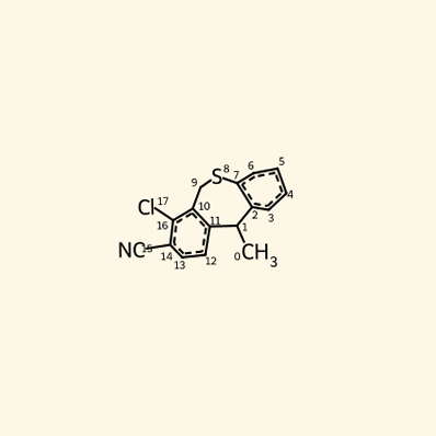 CC1c2ccccc2SCc2c1ccc(C#N)c2Cl